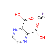 O=C(O)c1nccnc1C(=O)O.[Ca+2].[I-].[I-]